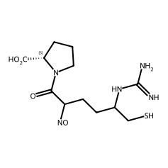 N=C(N)NC(CS)CCC(N=O)C(=O)N1CCC[C@H]1C(=O)O